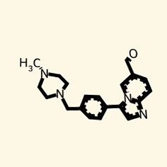 CN1CCN(Cc2ccc(-c3cnc4ccc(C=O)cn34)cc2)CC1